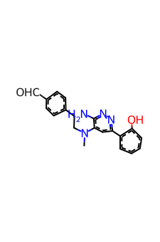 CN(CCc1ccc(C=O)cc1)c1cc(-c2ccccc2O)nnc1N